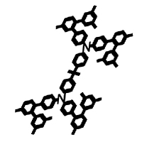 Cc1cc(C)cc(-c2ccc(C)cc2-c2ccc(N(c3ccc(-c4ccc(C)cc4-c4cc(C)cc(C)c4)cc3)c3ccc(C(C)(C)c4ccc(N(c5ccc(-c6ccc(C)cc6-c6cc(C)cc(C)c6)cc5)c5ccc(-c6cc(C)ccc6-c6cc(C)cc(C)c6)cc5)cc4)cc3)cc2)c1